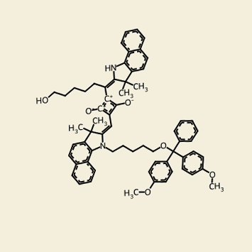 COc1ccc(C(OCCCCCN2C(=Cc3c([O-])[c+](C(CCCCCO)=C4Nc5c(ccc6ccccc56)C4(C)C)[c+]3[O-])C(C)(C)c3ccc4ccccc4c32)(c2ccccc2)c2ccc(OC)cc2)cc1